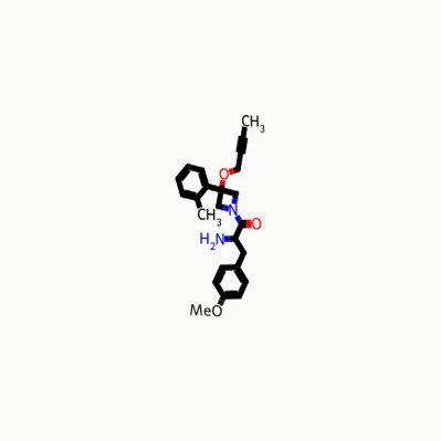 CC#CCOC1(c2ccccc2C)CN(C(=O)C(N)Cc2ccc(OC)cc2)C1